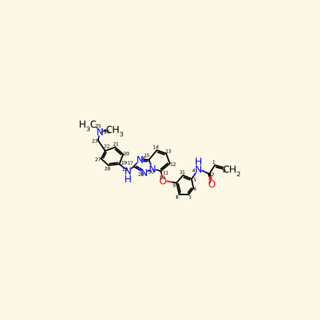 C=CC(=O)Nc1cccc(Oc2cccc3nc(Nc4ccc(CN(C)C)cc4)nn23)c1